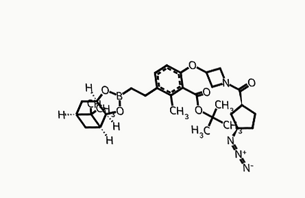 Cc1c(CCB2O[C@H]3[C@H]4C[C@@H](C[C@H]3O2)C4(C)C)ccc(OC2CN(C(=O)[C@H]3CC[C@@H](N=[N+]=[N-])C3)C2)c1C(=O)OC(C)(C)C